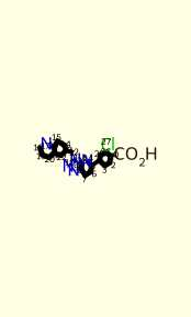 O=C(O)c1ccc(-c2ccc3nnn(Cc4ccc5ncccc5c4)c3n2)cc1Cl